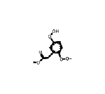 COC(=O)Cc1cc(OO)ccc1OO